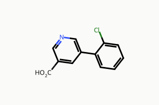 O=C(O)c1cncc(-c2ccccc2Cl)c1